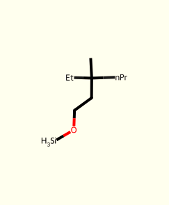 CCCC(C)(CC)CCO[SiH3]